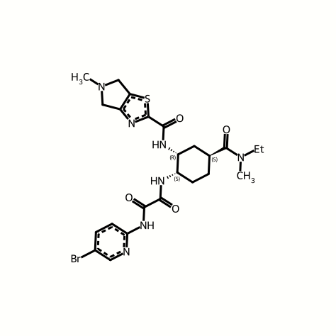 CCN(C)C(=O)[C@H]1CC[C@H](NC(=O)C(=O)Nc2ccc(Br)cn2)[C@H](NC(=O)c2nc3c(s2)CN(C)C3)C1